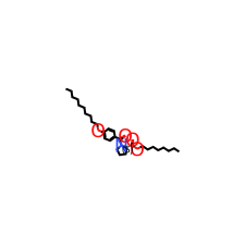 CCCCCCCCCCOc1ccc(C(=O)N2CCC[C@H]2C(=O)OCCCCCCCC)cc1